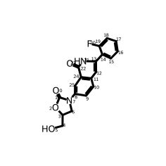 O=C1OC(CO)CN1c1ccc2cc(-c3ccccc3F)[nH]c(=O)c2c1